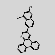 Clc1cc(Cl)c2cc(-c3cnc4c5ccccc5c5ccccc5c4n3)ccc2c1